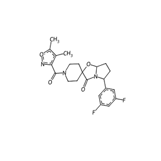 Cc1onc(C(=O)N2CCC3(CC2)OC2CCC(c4cc(F)cc(F)c4)N2C3=O)c1C